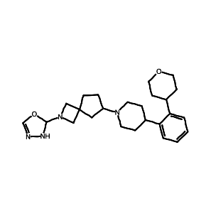 C1=NNC(N2CC3(CCC(N4CCC(c5ccccc5C5CCOCC5)CC4)C3)C2)O1